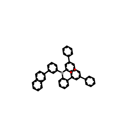 c1ccc(-c2cccc(-c3ccccc3N(c3cccc(-c4ccccc4)c3)c3cccc(-c4ccc5ccccc5c4)c3)c2)cc1